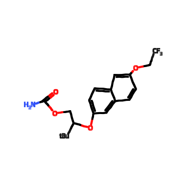 CC(C)(C)C(COC(N)=O)Oc1ccc2cc(OCC(F)(F)F)ccc2c1